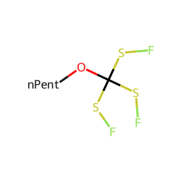 CCCCCOC(SF)(SF)SF